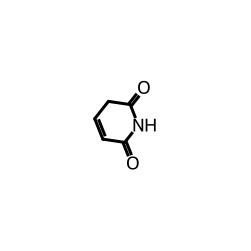 O=C1C=CCC(=O)N1